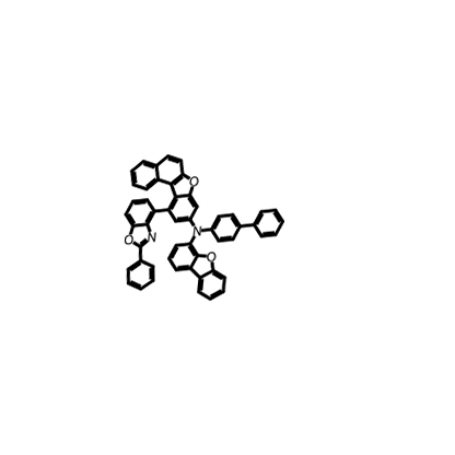 c1ccc(-c2ccc(N(c3cc(-c4cccc5oc(-c6ccccc6)nc45)c4c(c3)oc3ccc5ccccc5c34)c3cccc4c3oc3ccccc34)cc2)cc1